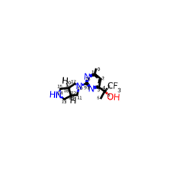 Cc1cc(C(C)(O)C(F)(F)F)nc(N2C[C@H]3CNC[C@H]3C2)n1